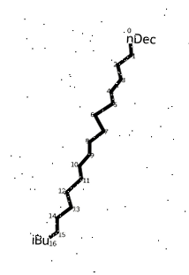 [CH2]CCCCCCCCCCCCCCCCCCCCCCCCC(C)C[CH2]